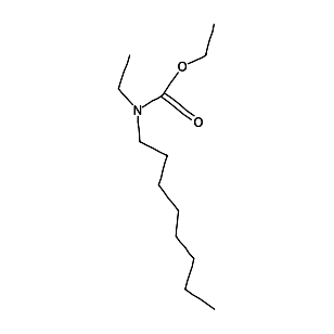 CCCCCCCCN(CC)C(=O)OCC